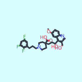 COc1ccc2ncc(CO)c(C(O)CCC3(C(=O)O)CCN(CCCc4cc(F)cc(F)c4F)CC3)c2c1